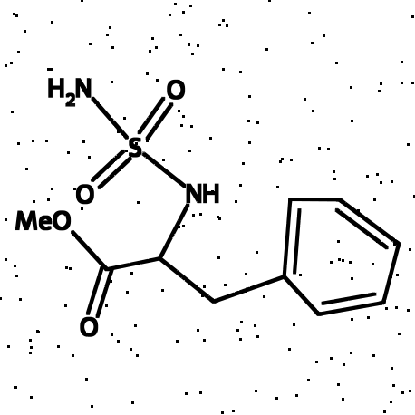 COC(=O)C(Cc1ccccc1)NS(N)(=O)=O